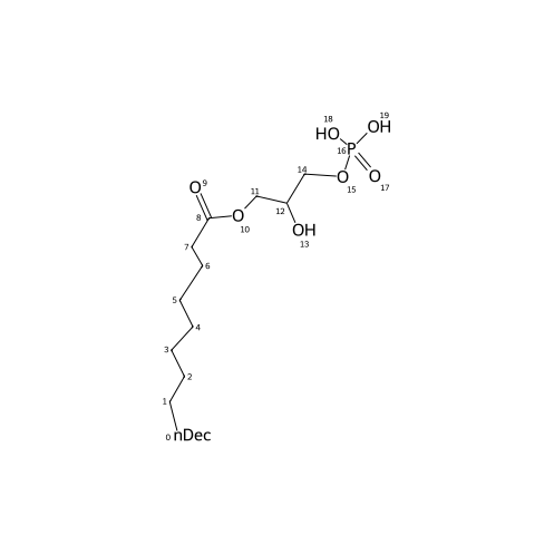 CCCCCCCCCCCCCCCCCC(=O)OCC(O)COP(=O)(O)O